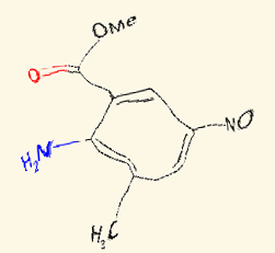 COC(=O)c1cc(N=O)cc(C)c1N